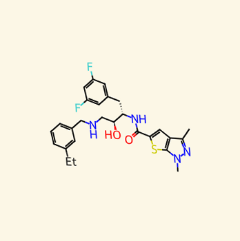 CCc1cccc(CNC[C@H](O)[C@H](Cc2cc(F)cc(F)c2)NC(=O)c2cc3c(C)nn(C)c3s2)c1